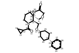 O=C1COC[C@]2(CCCN(C(=O)C3CC3)[C@@H]2CO[C@H]2CC[C@@H](c3ccccc3)CC2)N1